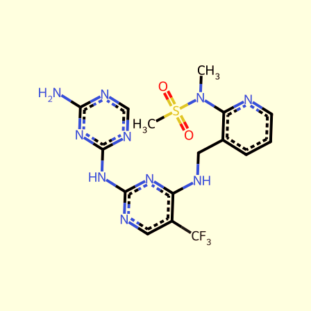 CN(c1ncccc1CNc1nc(Nc2ncnc(N)n2)ncc1C(F)(F)F)S(C)(=O)=O